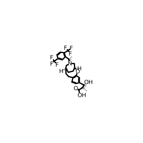 C[C@H](C(=O)O)[C@@H](O)c1ccc2c(c1)O[C@H]1CC[C@@H](CC2)CN([C@@H](C)c2cc(C(F)(F)F)ccc2C(F)(F)F)C1